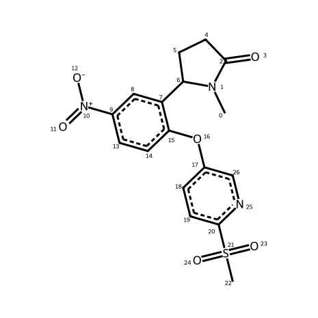 CN1C(=O)CCC1c1cc([N+](=O)[O-])ccc1Oc1ccc(S(C)(=O)=O)nc1